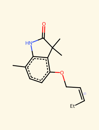 CC/C=C\COc1ccc(C)c2c1C(C)(C)C(=O)N2